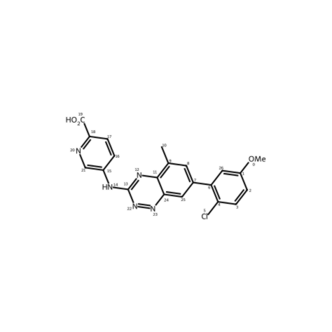 COc1ccc(Cl)c(-c2cc(C)c3nc(Nc4ccc(C(=O)O)nc4)nnc3c2)c1